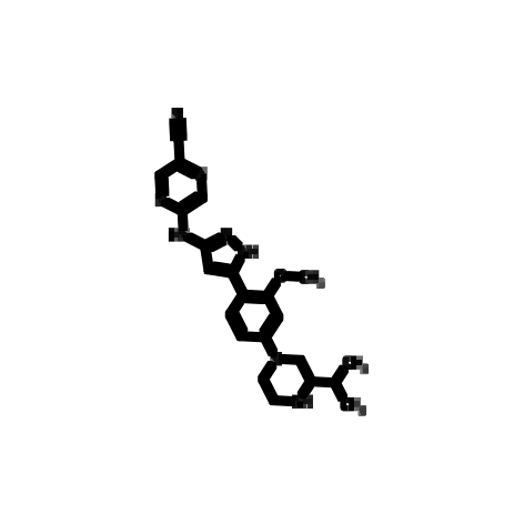 COc1cc(N2CCNC(C(C)C)C2)ccc1-c1cc(Nc2cnc(C#N)cn2)n[nH]1